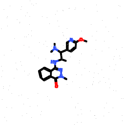 COc1ccc(C(C(C)Nc2nn(C)c(=O)c3ccccc23)N(C)C)cn1